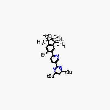 CCc1cc2c(cc1-c1ccc(-c3nc(C(C)(C)C)cc(C(C)(C)C)n3)cn1)C(C)(C)C(C)(C)C2(C)C